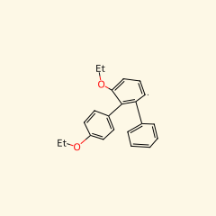 CCOc1ccc(-c2c(-c3ccccc3)[c]ccc2OCC)cc1